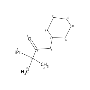 CC(C)C(C)(C)C(=O)CC1CCCCC1